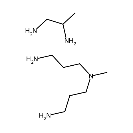 CC(N)CN.CN(CCCN)CCCN